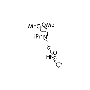 COc1cc2c(cc1OC)C(C(C)C)N(CCCCCCCC(=O)NOCc1ccccc1)CC2